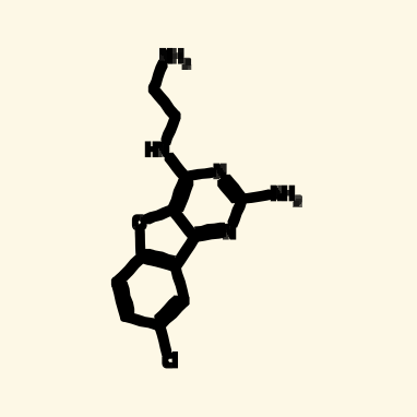 NCCNc1nc(N)nc2c1oc1ccc(Cl)cc12